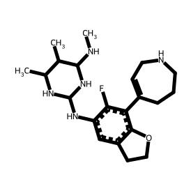 CNC1NC(Nc2cc3c(c(C4=CCNCCC4)c2F)OCC3)NC(C)C1C